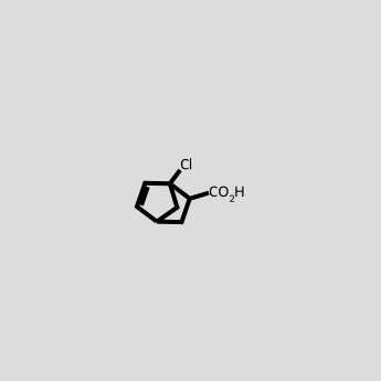 O=C(O)C1CC2C=CC1(Cl)C2